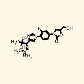 C[SiH](C)OC(c1cn(-c2ccc(N3CC(CO)OC3=O)cc2F)cn1)C(C)(C)C